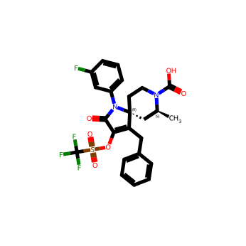 C[C@H]1C[C@]2(CCN1C(=O)O)C(Cc1ccccc1)=C(OS(=O)(=O)C(F)(F)F)C(=O)N2c1cccc(F)c1